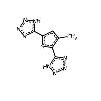 Cc1cc(-c2nnn[nH]2)sc1-c1nnn[nH]1